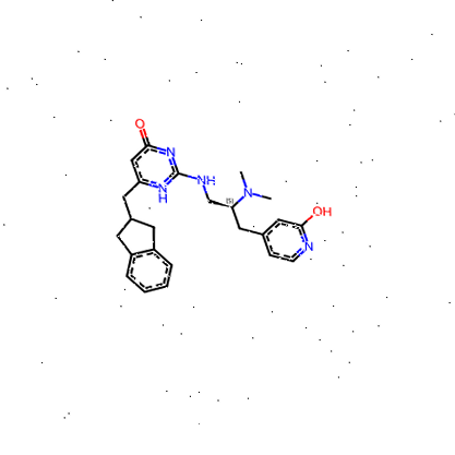 CN(C)[C@H](CNc1nc(=O)cc(CC2Cc3ccccc3C2)[nH]1)Cc1ccnc(O)c1